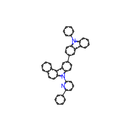 c1ccc(-c2cccc(-n3c4ccc(-c5ccc6c(c5)c5ccccc5n6-c5ccccc5)cc4c4c5ccccc5ccc43)n2)cc1